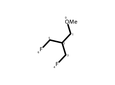 COCC(CF)CF